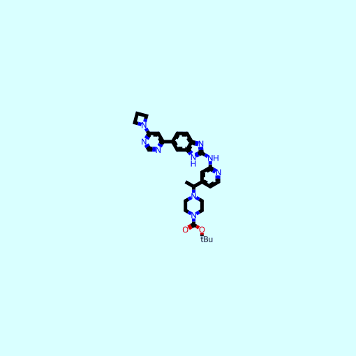 CC(c1ccnc(Nc2nc3ccc(-c4cc(N5CCC5)ncn4)cc3[nH]2)c1)N1CCN(C(=O)OC(C)(C)C)CC1